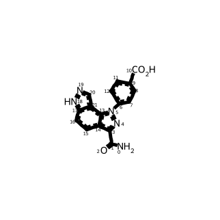 NC(=O)c1nn(-c2ccc(C(=O)O)cc2)c2c1ccc1[nH]ncc12